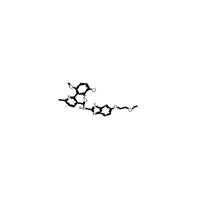 COCCOc1ccc2nc(NC(=O)c3ccc(C)nc3-c3c(OC)ccc(Cl)c3F)sc2c1